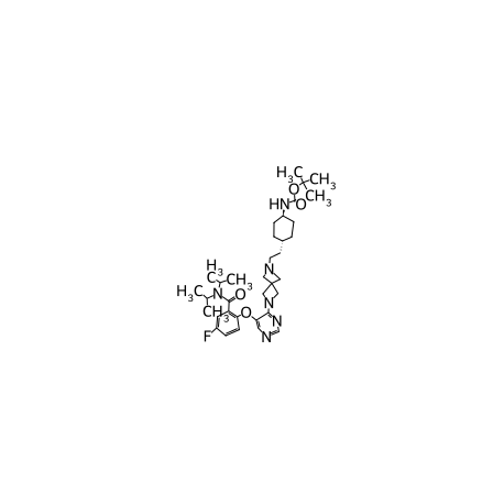 CC(C)N(C(=O)c1cc(F)ccc1Oc1cncnc1N1CC2(CN(CC[C@H]3CC[C@H](NC(=O)OC(C)(C)C)CC3)C2)C1)C(C)C